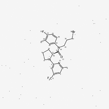 Cc1cc(C(F)(F)F)cc(N2CCC[C@H]2C(=O)N(CCCBr)c2ccc(F)c(C)c2)n1